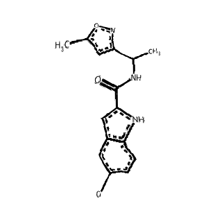 Cc1cc(C(C)NC(=O)c2cc3cc(Cl)ccc3[nH]2)no1